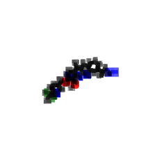 C=C(C=N)C1=CCC=C2CC(C(C)c3ccc(OCc4ccc(C(C)(F)F)nc4)c(OC)c3)C(N)=NC2=C1